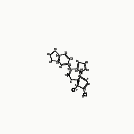 Clc1ccc2c(c1Cl)CN=C(c1ccc3c(c1)CCC3)c1cccn1-2